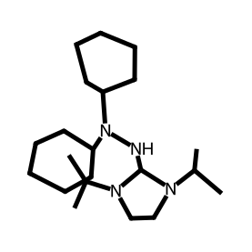 CC(C)N1CCN(C(C)C)C1NN(C1CCCCC1)C1CCCCC1